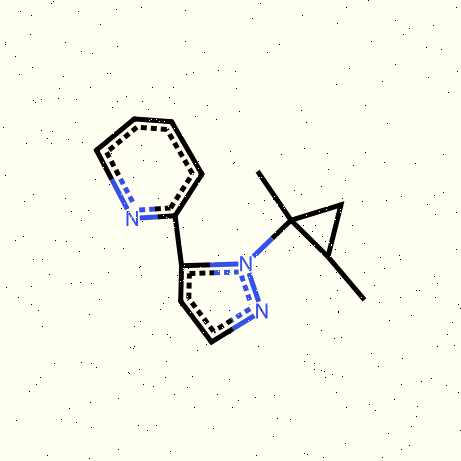 CC1CC1(C)n1nccc1-c1ccccn1